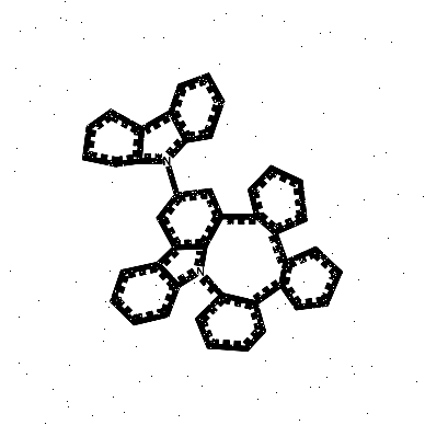 c1ccc2c(c1)c1ccccc1c1cc(-n3c4ccccc4c4ccccc43)cc3c4ccccc4n(c4ccccc24)c13